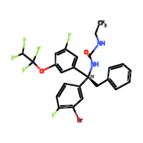 O=C(NCC(F)(F)F)N[C@@](Cc1ccccc1)(c1cc(F)cc(OC(F)(F)C(F)F)c1)c1ccc(F)c(Br)c1